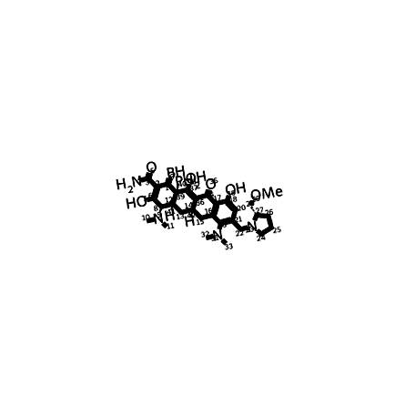 B=C1C(C(N)=O)=C(O)[C@@H](N(C)C)[C@@H]2C[C@@H]3Cc4c(c(O)cc(CN5CCC[C@H]5COC)c4N(C)C)C(=O)C3=C(O)[C@]12P